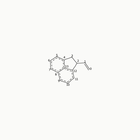 C=CC1Cc2cccc3cccc1c23